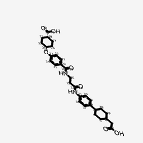 O=C(O)CC1CCC(c2ccc(NC(=O)CCNC(=O)c3ccc(O[C@H]4CC[C@@H](C(=O)O)CC4)cc3)cc2)CC1